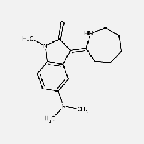 CN(C)c1ccc2c(c1)/C(=C1\CCCCCN1)C(=O)N2C